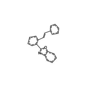 C(=Cc1ccccc1-c1nc2ccccc2o1)c1ccccc1